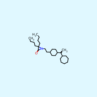 C=C(C1CCCCCC1)C1CCC(CCN2C(=O)C2(CCCC)CCCC)CC1